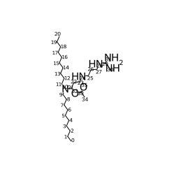 CCCCCCCCCCN(CCCCCCCCCC)C(CCNCCCNC(=N)N)OC(C)=O